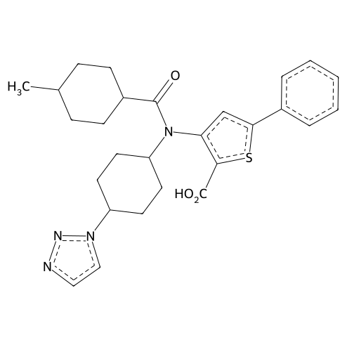 CC1CCC(C(=O)N(c2cc(-c3ccccc3)sc2C(=O)O)C2CCC(n3ccnn3)CC2)CC1